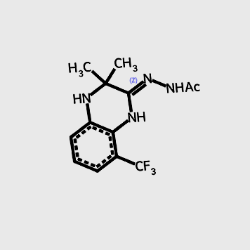 CC(=O)N/N=C1\Nc2c(cccc2C(F)(F)F)NC1(C)C